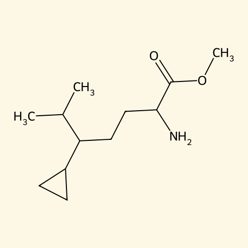 COC(=O)C(N)CCC(C(C)C)C1CC1